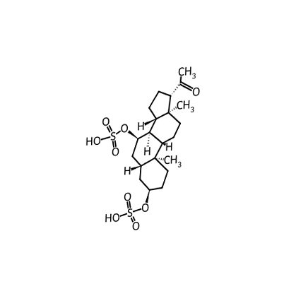 CC(=O)[C@H]1CC[C@H]2[C@@H]3[C@H](OS(=O)(=O)O)C[C@H]4C[C@H](OS(=O)(=O)O)CC[C@]4(C)[C@H]3CC[C@]12C